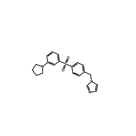 O=S(=O)(c1ccc(Cn2ccnc2)cc1)c1cccc(N2CCCC2)c1